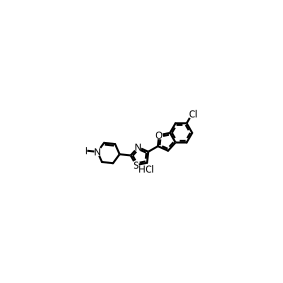 Cl.Clc1ccc2cc(-c3csc(C4C=CN(I)CC4)n3)oc2c1